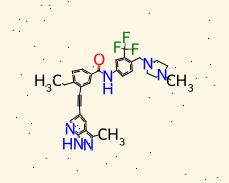 CCc1ccc(C(=O)Nc2ccc(CN3CCN(C)CC3)c(C(F)(F)F)c2)cc1C#Cc1cnc2[nH]nc(C)c2c1